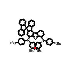 CC(C)(C)c1ccc(N(C2=CCC(C(C)(C)C)C=C2)c2cc3c(c4c2oc2c(N(c5ccc(C(C)(C)C)cc5)c5ccc(C(C)(C)C)cc5)cccc24)-c2ccccc2C32c3ccccc3-c3ccccc32)cc1